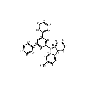 Clc1ccc2c3ccccc3n(-c3cc(-c4ccccc4)cc(-c4ccccc4)c3)c2c1